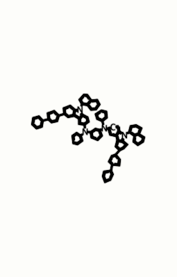 c1ccc(-c2ccc(-c3ccc4c(c3)c3cc(N(c5ccccc5)c5cccc(N(c6ccccc6)c6ccc7c(c6)c6cc(-c8ccc(-c9ccccc9)cc8)ccc6n7-c6cccc7ccccc67)c5)ccc3n4-c3cccc4ccccc34)cc2)cc1